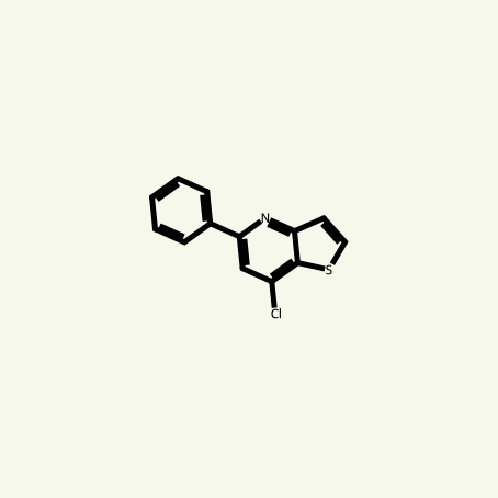 Clc1cc(-c2ccccc2)nc2ccsc12